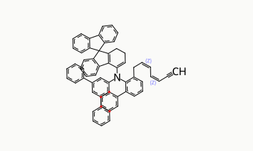 C#C/C=C\C=C/Cc1cccc(-c2ccccc2)c1N(C1=CCCC2=C1c1ccccc1C21c2ccccc2-c2ccccc21)c1cc(-c2ccccc2)cc(-c2ccccc2)c1